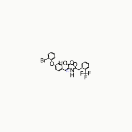 O=C(Cc1ccccc1C(F)(F)F)N/C(=C/c1ccc(Oc2ccccc2Br)cc1)C(=O)O